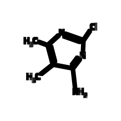 Cc1nc(Cl)nc(N)c1C